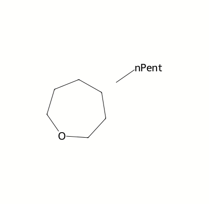 C1CCCOCC1.CCCCCC